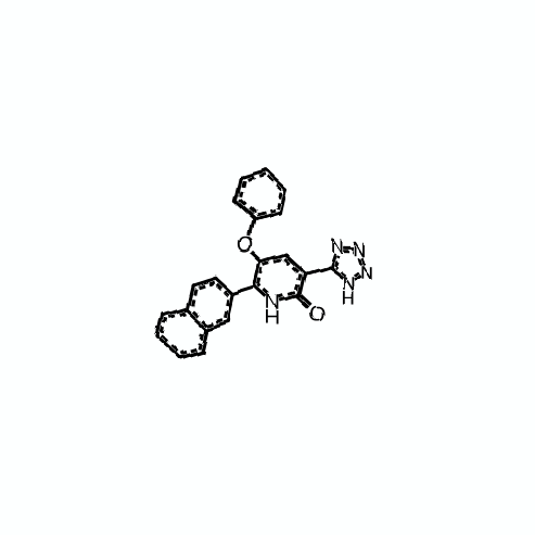 O=c1[nH]c(-c2ccc3ccccc3c2)c(Oc2ccccc2)cc1-c1nnn[nH]1